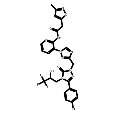 Cc1cc(CC(=O)Nc2ncccc2-n2cnc(Cn3nc(-c4ccc(Cl)cc4)n(C[C@H](O)C(F)(F)F)c3=O)n2)on1